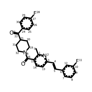 Cc1nc(C=Cc2cccc(F)c2)ccc1C(=O)N1CCC(C(=O)c2ccc(F)cc2)CC1